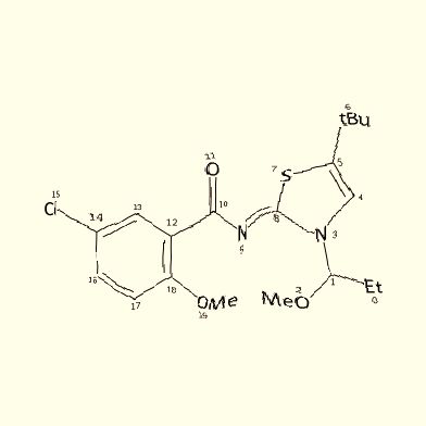 CCC(OC)n1cc(C(C)(C)C)sc1=NC(=O)c1cc(Cl)ccc1OC